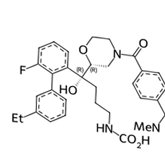 CCc1cccc(-c2c(F)cccc2[C@](O)(CCCNC(=O)O)[C@H]2CN(C(=O)c3ccc(CNC)cc3)CCO2)c1